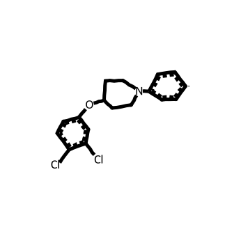 Clc1ccc(OC2CCN(c3cc[c]cc3)CC2)cc1Cl